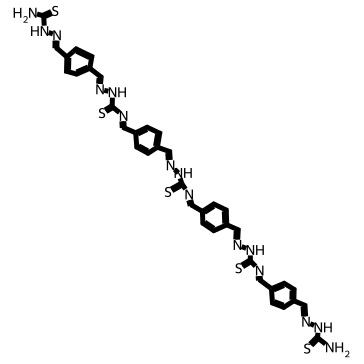 NC(=S)N/N=C/c1ccc(/C=N/NC(=S)/N=C/c2ccc(/C=N/NC(=S)/N=C/c3ccc(/C=N/NC(=S)/N=C/c4ccc(/C=N/NC(N)=S)cc4)cc3)cc2)cc1